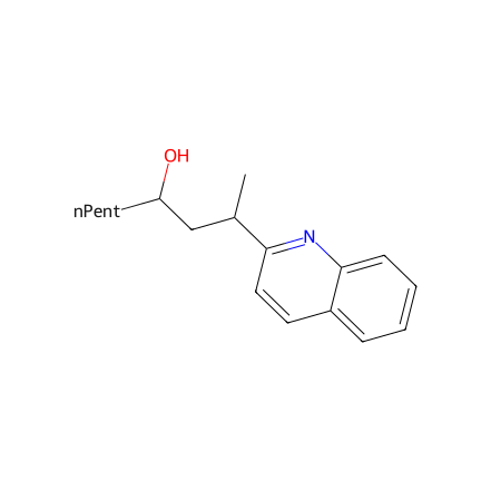 CCCCCC(O)CC(C)c1ccc2ccccc2n1